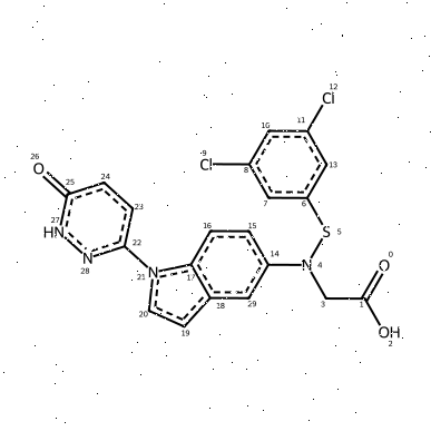 O=C(O)CN(Sc1cc(Cl)cc(Cl)c1)c1ccc2c(ccn2-c2ccc(=O)[nH]n2)c1